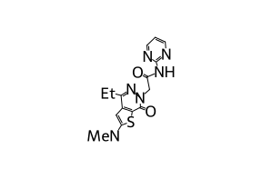 CCc1nn(CC(=O)Nc2ncccn2)c(=O)c2sc(NC)cc12